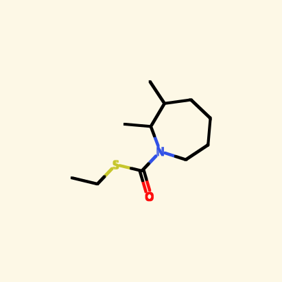 CCSC(=O)N1CCCCC(C)C1C